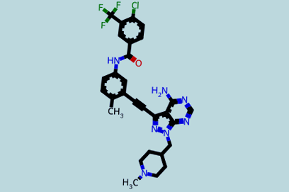 Cc1ccc(NC(=O)c2ccc(Cl)c(C(F)(F)F)c2)cc1C#Cc1nn(CC2CCN(C)CC2)c2ncnc(N)c12